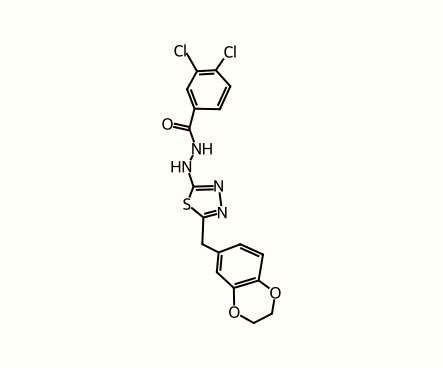 O=C(NNc1nnc(Cc2ccc3c(c2)OCCO3)s1)c1ccc(Cl)c(Cl)c1